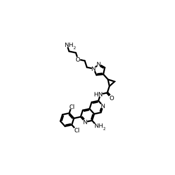 NCCOCCn1cc(C2CC2C(=O)Nc2cc3cc(-c4c(Cl)cccc4Cl)nc(N)c3cn2)cn1